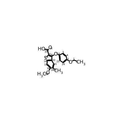 CCOc1ccc(Oc2c(C(=O)O)sc3cc(OC)c(C)cc23)cc1